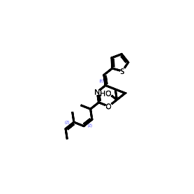 C/C=C(C)\C=C/C(C)C1=N/C(=C/c2cccs2)C2CC2(O)O1